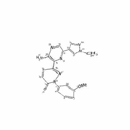 COc1cccc(-n2nc(-c3nc(-c4cnn(C)c4)cnc3N)ccc2=O)c1